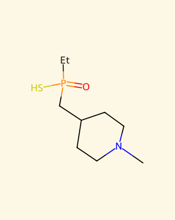 CCP(=O)(S)CC1CCN(C)CC1